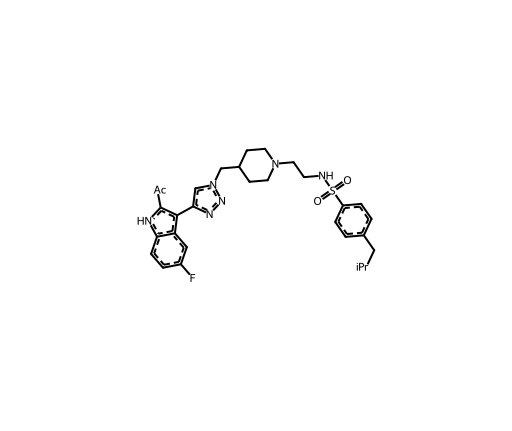 CC(=O)c1[nH]c2ccc(F)cc2c1-c1cn(CC2CCN(CCNS(=O)(=O)c3ccc(CC(C)C)cc3)CC2)nn1